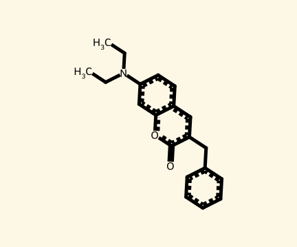 CCN(CC)c1ccc2cc(Cc3ccccc3)c(=O)oc2c1